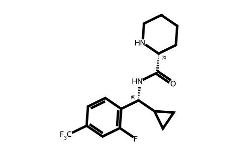 O=C(N[C@@H](c1ccc(C(F)(F)F)cc1F)C1CC1)[C@H]1CCCCN1